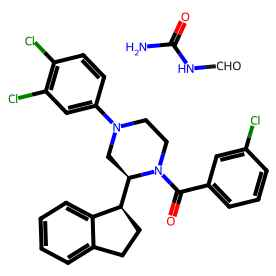 NC(=O)NC=O.O=C(c1cccc(Cl)c1)N1CCN(c2ccc(Cl)c(Cl)c2)C[C@@H]1[C@H]1CCc2ccccc21